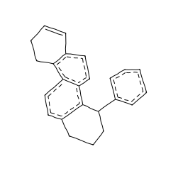 C1=Cc2ccc3c4c(ccc3c2CC1)CCCC4c1ccccc1